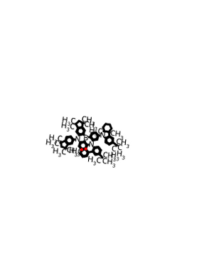 Cc1cc2c3c(c1)N(c1ccc(C(C)(C)C)cc1-c1ccccc1)c1cc(N4c5ccc(C(C)(C)C)cc5C5(C)CCCCC45C)ccc1B3c1cc3c(cc1N2c1ccc2c(c1)C(C)(C)CC2(C)C)C(C)(C)CC3(C)C